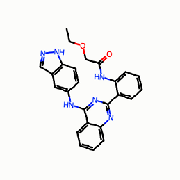 CCOCC(=O)Nc1ccccc1-c1nc(Nc2ccc3[nH]ncc3c2)c2ccccc2n1